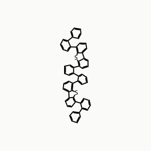 c1ccc(-c2ccccc2-c2cccc3c2sc2c(-c4ccccc4-c4ccccc4-c4cccc5c4sc4c(-c6ccccc6-c6ccccc6)cccc45)cccc23)cc1